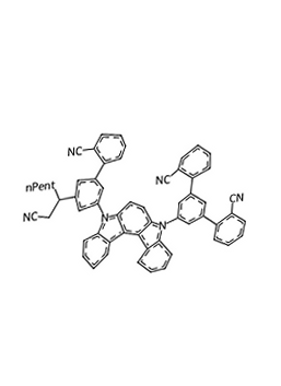 CCCCCC(CC#N)c1cc(-c2ccccc2C#N)cc(-n2c3ccccc3c3c4c5ccccc5n(-c5cc(-c6ccccc6C#N)cc(-c6ccccc6C#N)c5)c4ccc32)c1